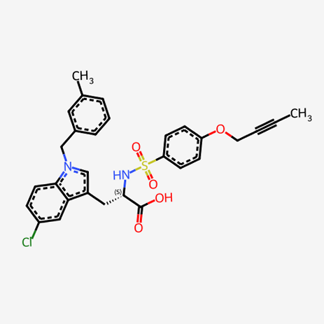 CC#CCOc1ccc(S(=O)(=O)N[C@@H](Cc2cn(Cc3cccc(C)c3)c3ccc(Cl)cc23)C(=O)O)cc1